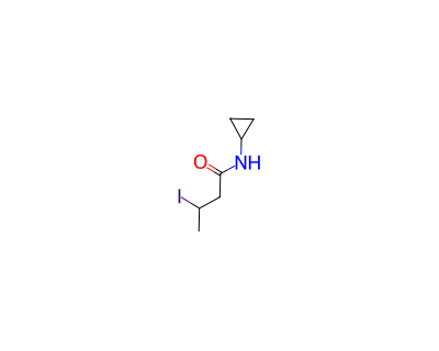 CC(I)CC(=O)NC1CC1